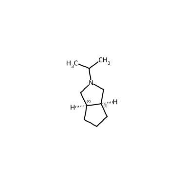 CC(C)N1C[C@H]2CCC[C@H]2C1